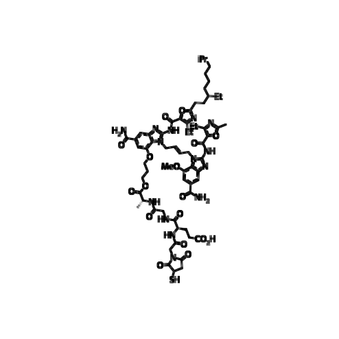 CCc1nc(C)oc1C(=O)Nc1nc2cc(C(N)=O)cc(OC)c2n1C/C=C/Cn1c(NC(=O)c2oc(CCC(CC)CCCCC(C)C)nc2CC)nc2cc(C(N)=O)cc(OCCCOC(=O)[C@@H](C)NC(=O)CNC(=O)[C@@H](CCC(=O)O)NC(=O)CN3C(=O)CC(S)C3=O)c21